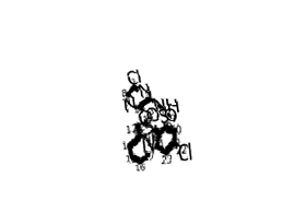 O=S(=O)(Nc1nc(Cl)cnc1OCc1ccccn1)C1=CC(Cl)=CCC1=S